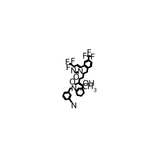 C[C@@]12C=C(CCC1)N(Cc1cccc(C#N)c1)C(=O)C(C(=O)CCCc1ccc(C(F)(F)F)cc1-c1cc(C(F)(F)F)ncn1)=C2O